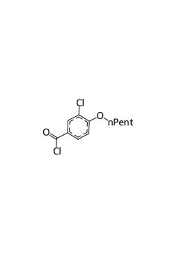 CCCCCOc1ccc(C(=O)Cl)cc1Cl